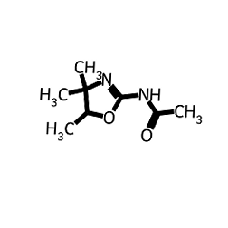 CC(=O)NC1=NC(C)(C)C(C)O1